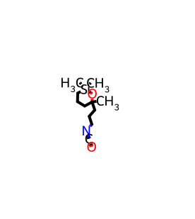 CC1(CCCN=C=O)CCC[Si](C)(C)O1